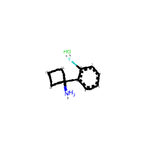 Cl.NC1(c2ccccc2F)CCC1